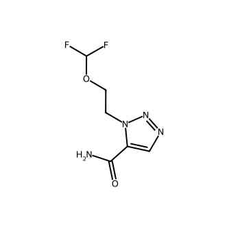 NC(=O)c1cnnn1CCOC(F)F